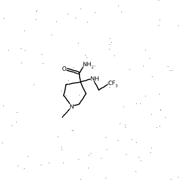 CN1CCC(NCC(F)(F)F)(C(N)=O)CC1